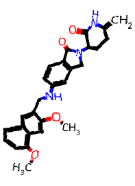 C=C1CCC(N2Cc3cc(NCc4cc5cccc(OC)c5cc4OC)ccc3C2=O)C(=O)N1